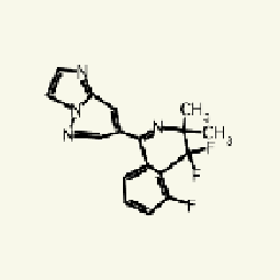 CC1(C)N=C(c2cnn3ccnc3c2)c2cccc(F)c2C1(F)F